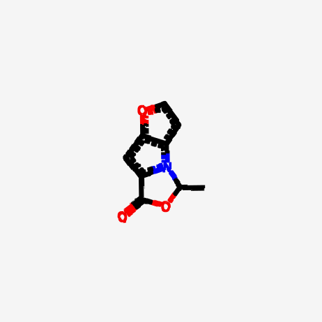 CC1OC(=O)c2cc3occc3n21